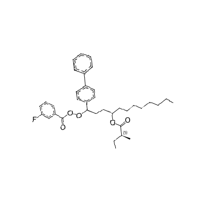 CCCCCCCCC(CCC(OOC(=O)c1cccc(F)c1)c1ccc(-c2ccccc2)cc1)OC(=O)[C@@H](C)CC